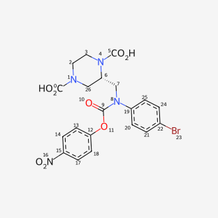 O=C(O)N1CCN(C(=O)O)[C@H](CN(C(=O)Oc2ccc([N+](=O)[O-])cc2)c2ccc(Br)cc2)C1